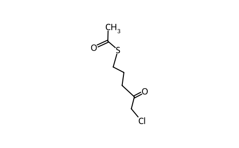 CC(=O)SCCCC(=O)CCl